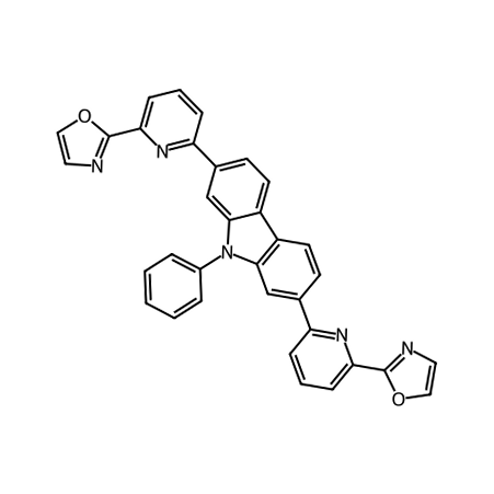 c1ccc(-n2c3cc(-c4cccc(-c5ncco5)n4)ccc3c3ccc(-c4cccc(-c5ncco5)n4)cc32)cc1